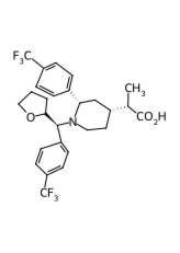 CC(C(=O)O)[C@@H]1CCN([C@@H](c2ccc(C(F)(F)F)cc2)C2CCCO2)[C@H](c2ccc(C(F)(F)F)cc2)C1